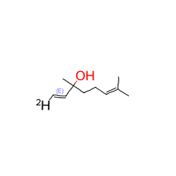 [2H]/C=C/C(C)(O)CCC=C(C)C